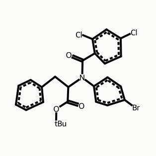 CC(C)(C)OC(=O)C(Cc1ccccc1)N(C(=O)c1ccc(Cl)cc1Cl)c1ccc(Br)cc1